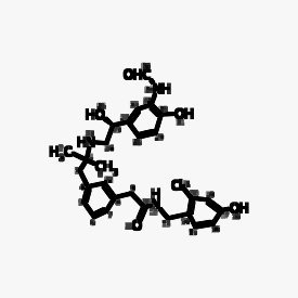 CC(C)(Cc1cccc(CC(=O)NCc2ccc(O)cc2Cl)c1)NC[C@@H](O)c1ccc(O)c(NC=O)c1